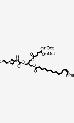 CCCCC/C=C\C/C=C\CCCCCCCC(=O)OCC(COC(=O)CCC(OCCCCCCCC)OCCCCCCCC)COC(=O)NC1CN(CCO)C1